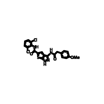 COc1ccc(CC(=O)Nc2n[nH]c3sc(C(=O)Nc4c(Cl)cccc4Cl)cc23)cc1